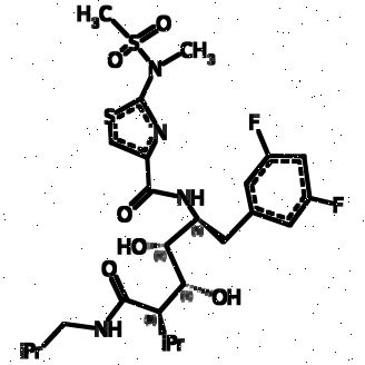 CC(C)CNC(=O)[C@H](C(C)C)[C@@H](O)[C@H](O)[C@H](Cc1cc(F)cc(F)c1)NC(=O)c1csc(N(C)S(C)(=O)=O)n1